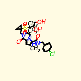 Cc1cc2n(c1C(=O)NCc1ccc(Cl)cc1)CCN(CC1(S(=O)(=O)C(C)(C)[C@@H](O)CO)CC1)C2=O